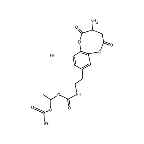 CC(OC(=O)NCCc1ccc2c(c1)OC(=O)CC(N)C(=O)O2)OC(=O)C(C)C.F